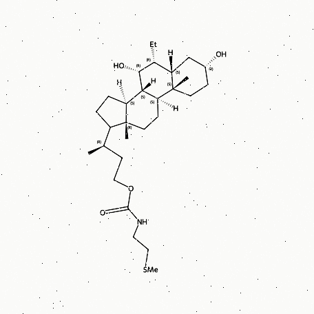 CC[C@H]1[C@@H](O)[C@@H]2[C@H](CC[C@]3(C)C([C@H](C)CCOC(=O)NCCSC)CC[C@@H]23)[C@@]2(C)CC[C@@H](O)C[C@@H]12